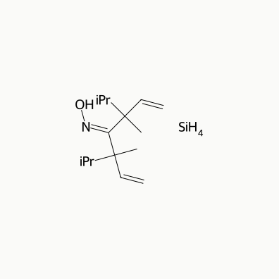 C=CC(C)(C(=NO)C(C)(C=C)C(C)C)C(C)C.[SiH4]